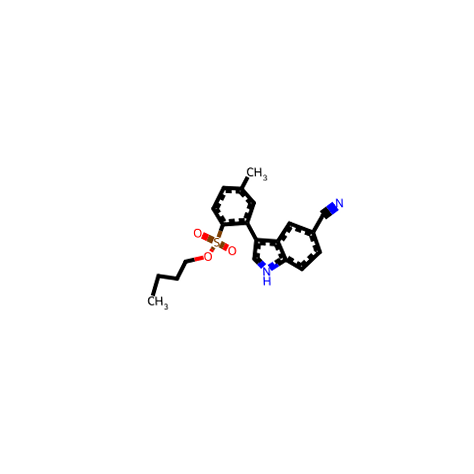 CCCCOS(=O)(=O)c1ccc(C)cc1-c1c[nH]c2ccc(C#N)cc12